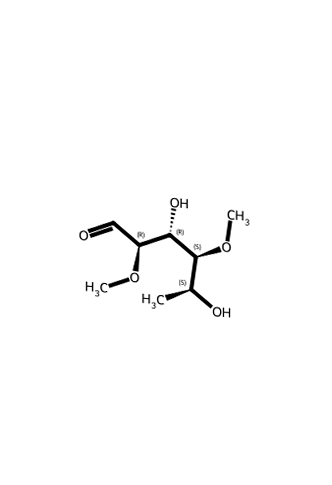 CO[C@H]([C@@H](O)[C@H](C=O)OC)[C@H](C)O